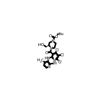 Cc1ccnc(C(C)C)c1Nc1nc(Cl)c(Cl)c(Cl)c1C(=O)N1CCN(C(=O)OC(C)(C)C)C[C@@H]1CO